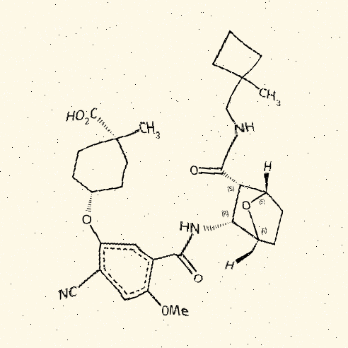 COc1cc(C#N)c(O[C@H]2CC[C@@](C)(C(=O)O)CC2)cc1C(=O)N[C@@H]1[C@H](C(=O)NCC2(C)CCC2)[C@@H]2CC[C@H]1O2